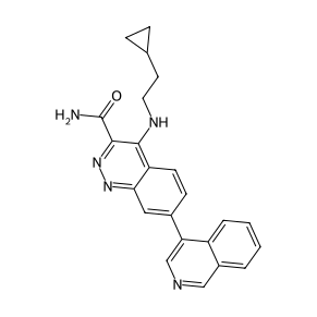 NC(=O)c1nnc2cc(-c3cncc4ccccc34)ccc2c1NCCC1CC1